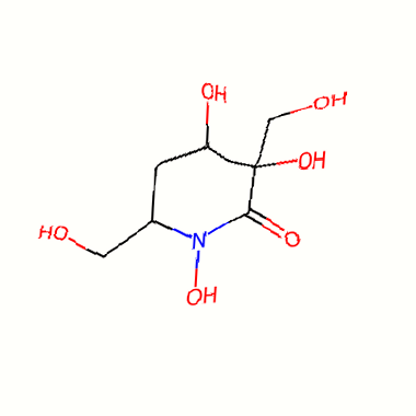 O=C1N(O)C(CO)CC(O)C1(O)CO